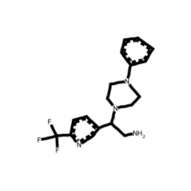 NCC(c1ccc(C(F)(F)F)nc1)N1CCN(c2ccccc2)CC1